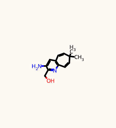 CC1(C)C=Cc2cc(N)c(CO)nc2C=C1